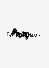 COCc1cc(=O)n2nc(N3CCc4ncc(-c5ccccc5OC(F)(F)F)cc4C3)c(C)cc2n1